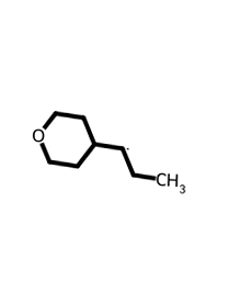 CC[CH]C1CCOCC1